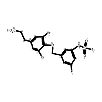 CCS(=O)(=O)Nc1cc(F)cc(COc2c(Br)cc(CCC(=O)O)cc2Br)c1